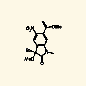 C=C(OC)c1cc2c(cc1[N+](=O)[O-])C(CC)(OC)C(=O)N2C